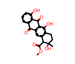 COC(=O)C1c2cc3c(c(O)c2CCC1(C)O)C(=O)c1c(O)cccc1C3=O